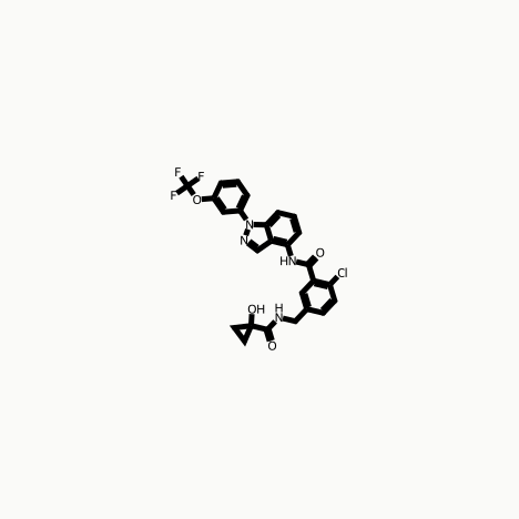 O=C(Nc1cccc2c1cnn2-c1cccc(OC(F)(F)F)c1)c1cc(CNC(=O)C2(O)CC2)ccc1Cl